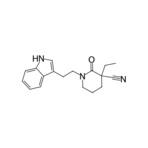 CCC1(C#N)CCCN(CCc2c[nH]c3ccccc23)C1=O